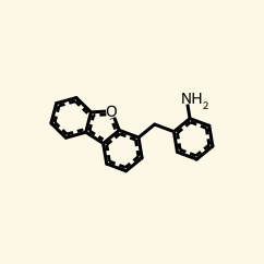 Nc1ccccc1Cc1cccc2c1oc1ccccc12